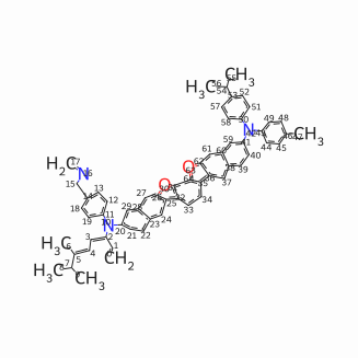 C=C/C(=C\C=C(/C)C(C)C)N(c1ccc(CN=C)cc1)c1ccc2cc3c(cc2c1)oc1c3ccc2c3cc4ccc(N(c5ccc(C)cc5)c5ccc(C(C)C)cc5)cc4cc3oc21